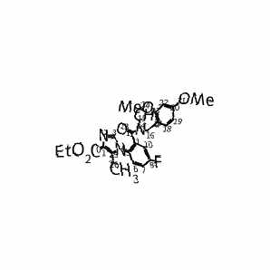 CCOC(=O)c1ncn(-c2ccc(F)cc2C(=O)N(C)Cc2ccc(OC)cc2OC)c1C